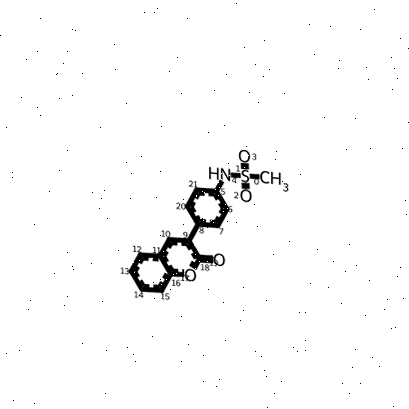 CS(=O)(=O)Nc1ccc(-c2cc3ccccc3oc2=O)cc1